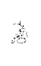 CC(=O)Oc1ccc(O[Si](c2ccccc2)(c2ccccc2)C(C)(C)C)c([N+](=O)[O-])c1